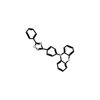 c1ccc(-c2nc(-c3ccc(N4c5ccccc5Sc5ccccc54)cc3)no2)cc1